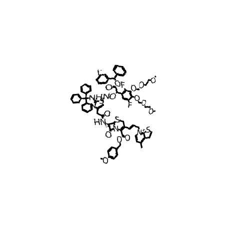 COCCOCOc1c(F)cc(C(ON=S2C=C(CC(=O)N[C@H]3C(=O)N4C(C(=O)OCc5ccc(OC)cc5)=C(C=CC[n+]5ccc(C)c6ccsc65)CSC34)N=C2NC(c2ccccc2)(c2ccccc2)c2ccccc2)C(=O)OC(c2ccccc2)c2ccccc2)c(F)c1OCOCCOC.[I-]